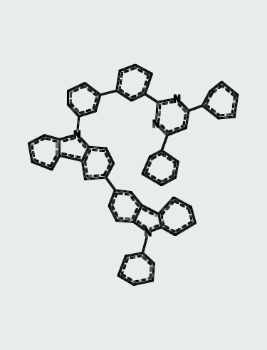 c1ccc(-c2cc(-c3ccccc3)nc(-c3cccc(-c4cccc(-n5c6ccccc6c6cc(-c7ccc8c(c7)c7ccccc7n8-c7ccccc7)ccc65)c4)c3)n2)cc1